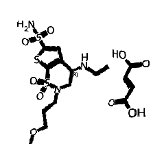 CCN[C@H]1CN(CCCOC)S(=O)(=O)c2sc(S(N)(=O)=O)cc21.O=C(O)C=CC(=O)O